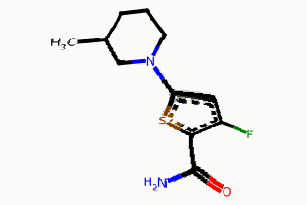 CC1CCCN(c2cc(F)c(C(N)=O)s2)C1